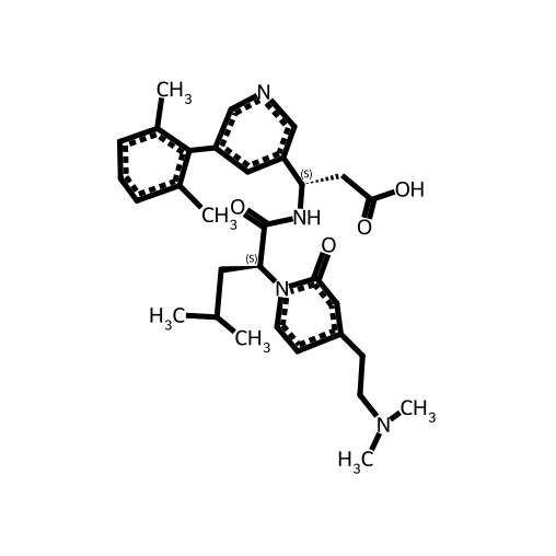 Cc1cccc(C)c1-c1cncc([C@H](CC(=O)O)NC(=O)[C@H](CC(C)C)n2ccc(CCN(C)C)cc2=O)c1